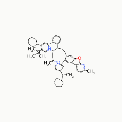 C=C1CC2C(CCc3cc4oc5nc(C)ccc5c4cc3-c3cc(C(C)C4CCCCC4)cc[n+]31)c1ccccc1-c1cc(C3CCCCC3)c([Si](C)(C)C)c[n+]12